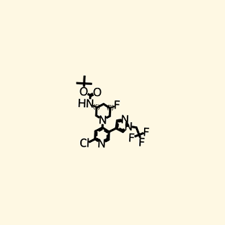 CC(C)(C)OC(=O)N[C@H]1C[C@@H](F)CN(c2cc(Cl)ncc2-c2cnn(CC(F)(F)F)c2)C1